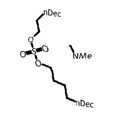 CCCCCCCCCCCCCCOS(=O)(=O)OCCCCCCCCCCCC.CNC